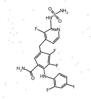 NC(=O)c1cc(Cc2ccnc(NS(N)(=O)=O)c2F)c(F)c(F)c1Nc1ccc(I)cc1F